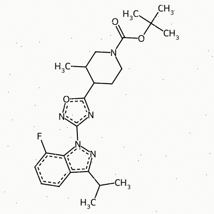 CC(C)c1nn(-c2noc(C3CCN(C(=O)OC(C)(C)C)CC3C)n2)c2c(F)cccc12